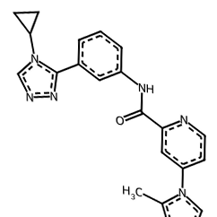 Cc1nccn1-c1ccnc(C(=O)Nc2cccc(-c3nncn3C3CC3)c2)c1